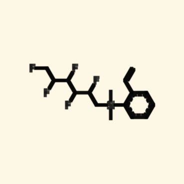 C=Cc1ccccc1[Si](C)(C)CC(F)C(F)C(F)C(F)CF